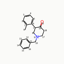 Cc1ccccc1C1CN(Cc2ccccc2)CCC1=O